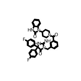 N=C1NC(c2ccc(F)cc2)(c2ccc(F)cc2)C(=O)N1Cc1cccc(C(=O)N2CCC(n3c(=O)[nH]c4ccccc43)CC2)c1